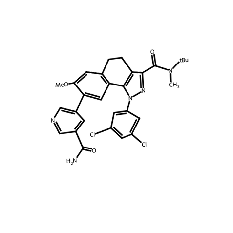 COc1cc2c(cc1-c1cncc(C(N)=O)c1)-c1c(c(C(=O)N(C)C(C)(C)C)nn1-c1cc(Cl)cc(Cl)c1)CC2